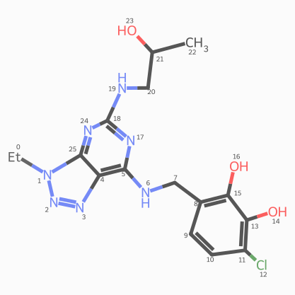 CCn1nnc2c(NCc3ccc(Cl)c(O)c3O)nc(NCC(C)O)nc21